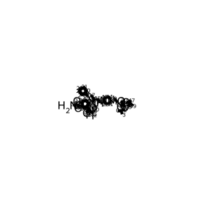 CC(C)(C)OP(=O)(OCCN1CCN(CC[C@H](CSc2ccccc2)Nc2ccc(S(N)(=O)=O)cc2S(=O)(=O)C(F)(F)F)CC1)OC(C)(C)C